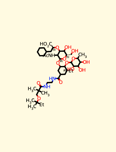 CC[C@@H]1CC(C(=O)NCCNC(=O)C(C)(C)COC(C)(C)CC)CC(O[C@@H]2O[C@@H](CO)C(O)C(O[C@@H](CC3CCCCC3)C(=O)O)C2NC(C)=O)C1OC1OC(C)C(O)C(O)C1O